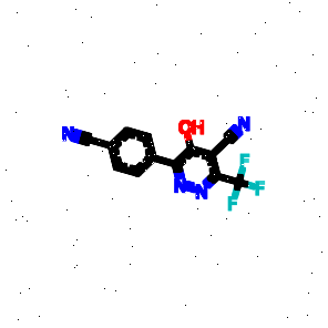 N#Cc1ccc(-c2nnc(C(F)(F)F)c(C#N)c2O)cc1